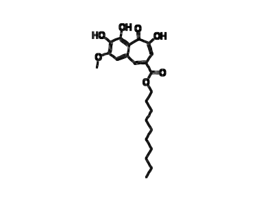 CCCCCCCCCCOC(=O)c1cc(O)c(=O)c2c(O)c(O)c(OC)cc2c1